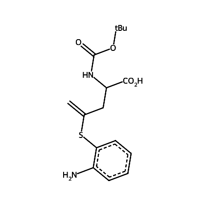 C=C(CC(NC(=O)OC(C)(C)C)C(=O)O)Sc1ccccc1N